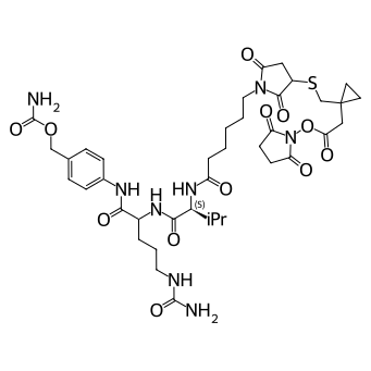 CC(C)[C@H](NC(=O)CCCCCN1C(=O)CC(SCC2(CC(=O)ON3C(=O)CCC3=O)CC2)C1=O)C(=O)NC(CCCNC(N)=O)C(=O)Nc1ccc(COC(N)=O)cc1